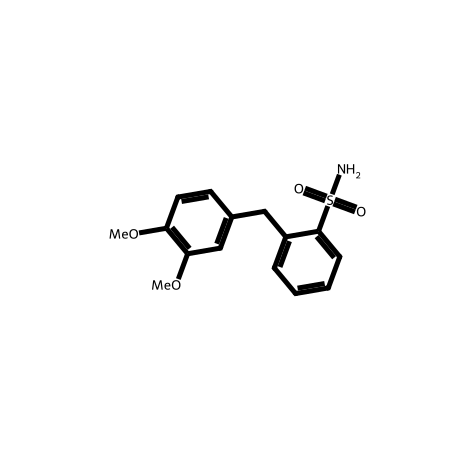 COc1ccc(Cc2ccccc2S(N)(=O)=O)cc1OC